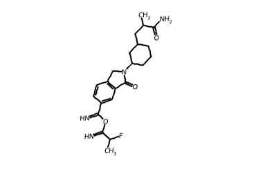 CC(F)C(=N)OC(=N)c1ccc2c(c1)C(=O)N([C@@H]1CCCC(CC(C)C(N)=O)C1)C2